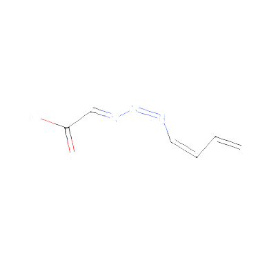 C=C\C=C/N=N\N=C\C(=O)O